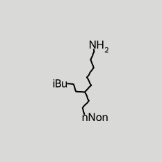 CCCCCCCCCCCC(CCCCCN)CCC(C)CC